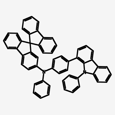 c1ccc(N(c2ccc(-c3cccc4c5ccccc5n(-c5ccccc5)c34)cc2)c2ccc3c(c2)C2(c4ccccc4-c4ccccc42)c2ccccc2-3)cc1